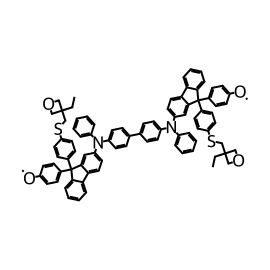 CCC1(CSc2ccc(C3(c4ccc(OC)cc4)c4ccccc4-c4ccc(N(c5ccccc5)c5ccc(-c6ccc(N(c7ccccc7)c7ccc8c(c7)C(c7ccc(OC)cc7)(c7ccc(SCC9(CC)COC9)cc7)c7ccccc7-8)cc6)cc5)cc43)cc2)COC1